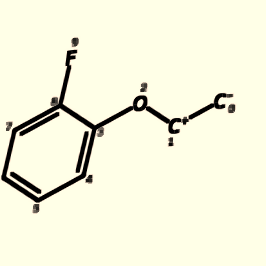 [CH2-][CH+]Oc1ccccc1F